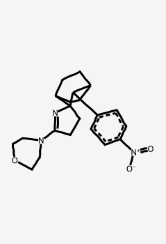 O=[N+]([O-])c1ccc(C2C3CCC(CC3)C23CCC(N2CCOCC2)=N3)cc1